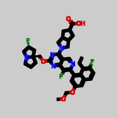 CCc1c(F)ccc2cc(OCOC)cc(-c3ncc4c(N5CC6CC(C(=O)O)CC6C5)nc(OC[C@@]56CCCN5C[C@H](F)C6)nc4c3F)c12